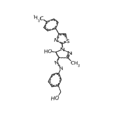 CC1=NN(c2nc(-c3ccc(C)cc3)cs2)C(O)C1/N=N/c1cccc(CO)c1